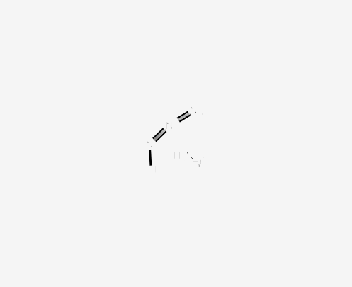 CCCN=[N+]=[N-].Cl.N